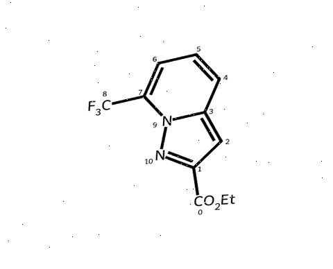 CCOC(=O)c1cc2cccc(C(F)(F)F)n2n1